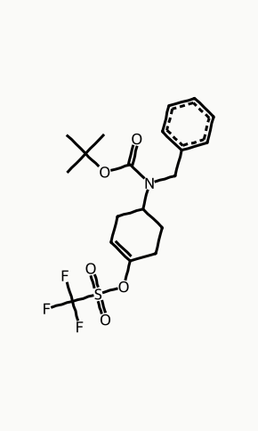 CC(C)(C)OC(=O)N(Cc1ccccc1)C1CC=C(OS(=O)(=O)C(F)(F)F)CC1